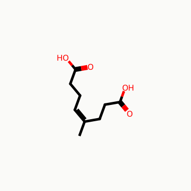 CC(=CCCC(=O)O)CCC(=O)O